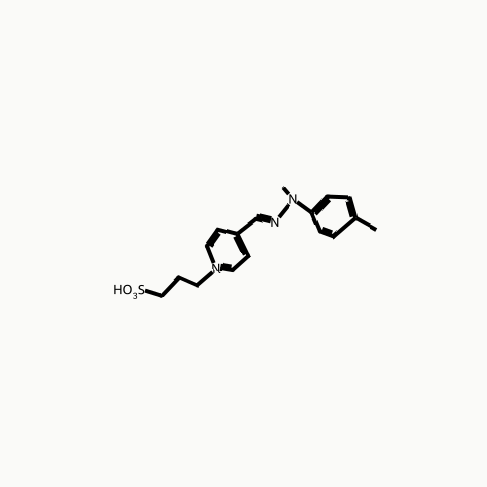 Cc1ccc(N(C)N=Cc2cc[n+](CCCS(=O)(=O)O)cc2)cc1